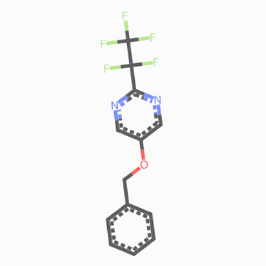 FC(F)(F)C(F)(F)c1ncc(OCc2ccccc2)cn1